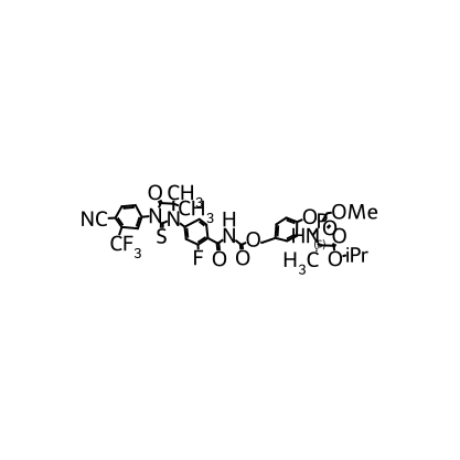 COCP(=O)(N[C@@H](C)C(=O)OC(C)C)Oc1ccc(COC(=O)NC(=O)c2ccc(N3C(=S)N(c4ccc(C#N)c(C(F)(F)F)c4)C(=O)C3(C)C)cc2F)cc1